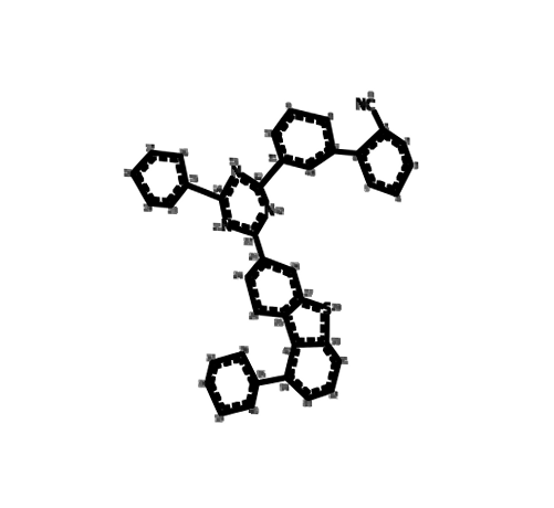 N#Cc1ccccc1-c1cccc(-c2nc(-c3ccccc3)nc(-c3ccc4c(c3)sc3cccc(-c5ccccc5)c34)n2)c1